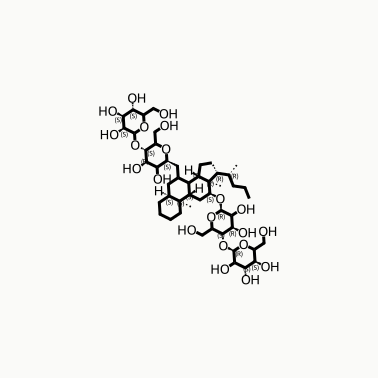 CCC[C@@H](C)[C@H]1CC[C@H]2C3C(C[C@@H]4OC(CO)[C@@H](OC5OC(CO)[C@@H](O)[C@H](O)[C@@H]5O)[C@H](O)C4O)C[C@@H]4CCCC[C@]4(C)[C@H]3C[C@H](O[C@@H]3OC(CO)[C@@H](O[C@H]4OC(CO)[C@@H](O)[C@H](O)C4O)[C@H](O)C3O)[C@]12C